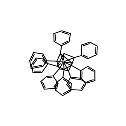 c1ccc([C]23[CH]4[C]5(c6ccccc6)[C]6(c7ccccc7)[C]2(c2ccccc2)[Ni]43562789[CH]3[C]2(c2ccccc2)[C]7(c2ccccc2)[C]8(c2ccccc2)[C]39c2ccccc2)cc1